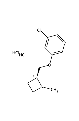 CN1CC[C@H]1COc1cncc(Cl)c1.Cl.Cl